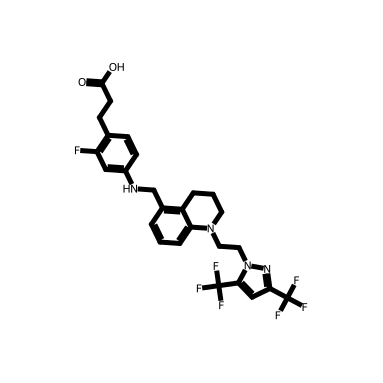 O=C(O)CCc1ccc(NCc2cccc3c2CCCN3CCn2nc(C(F)(F)F)cc2C(F)(F)F)cc1F